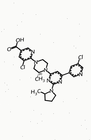 CC1CCCN1c1nc(-c2cncc(Cl)c2)cc(N2CCN(c3ncc(C(=O)O)cc3Cl)C[C@H]2C)n1